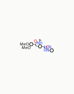 COc1ccc(C(=Cc2ccc(/C=C/C(=O)Nc3ccccc3N)cc2)C(=O)NC2CC2)cc1OC